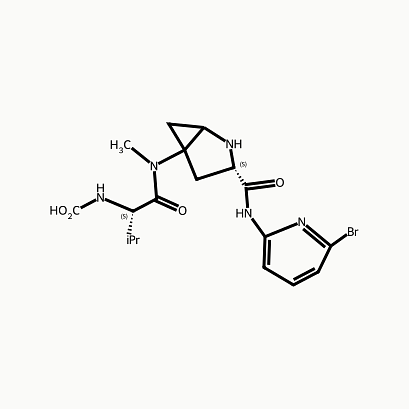 CC(C)[C@H](NC(=O)O)C(=O)N(C)C12CC1N[C@H](C(=O)Nc1cccc(Br)n1)C2